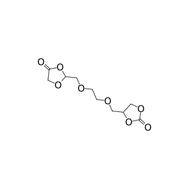 O=C1COC(COCCOCC2COC(=O)O2)O1